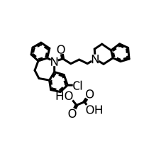 O=C(CCCN1CCc2ccccc2C1)N1c2ccccc2CCc2ccc(Cl)cc21.O=C(O)C(=O)O